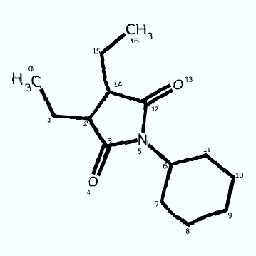 CCC1C(=O)N(C2CCCCC2)C(=O)C1CC